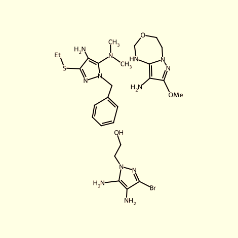 CCSc1nn(Cc2ccccc2)c(N(C)C)c1N.COc1nn2c(c1N)NCOCC2.Nc1c(Br)nn(CCO)c1N